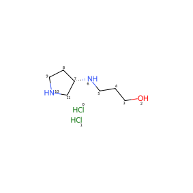 Cl.Cl.OCCCN[C@H]1CCNC1